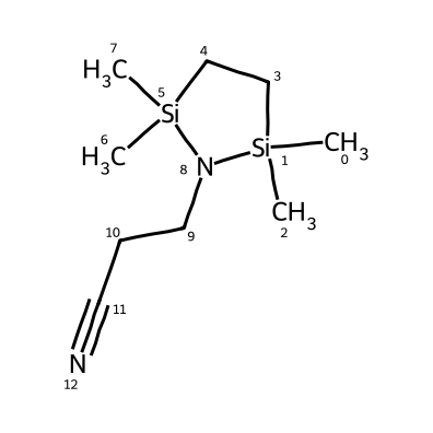 C[Si]1(C)CC[Si](C)(C)N1CCC#N